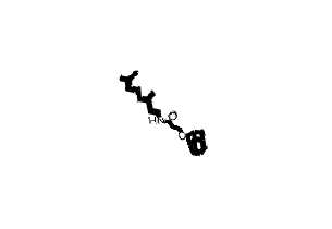 CC(C)=CCC/C(C)=C/CNC(=O)CCOC1C2CC3CC(C2)CC1C3